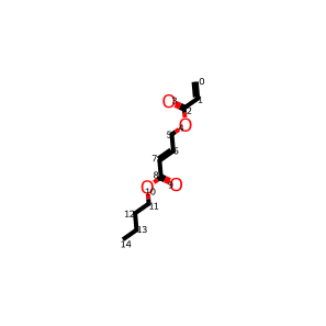 C=CC(=O)OCC=CC(=O)OCCCC